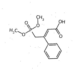 COP(=O)(CC(=CC(=O)O)c1ccccc1)OC